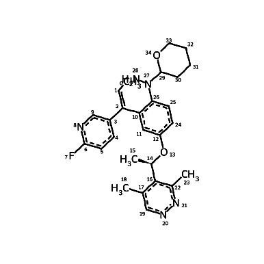 C/C=C(/c1ccc(F)nc1)c1cc(O[C@H](C)c2c(C)cnnc2C)ccc1N(N)C1CCCCO1